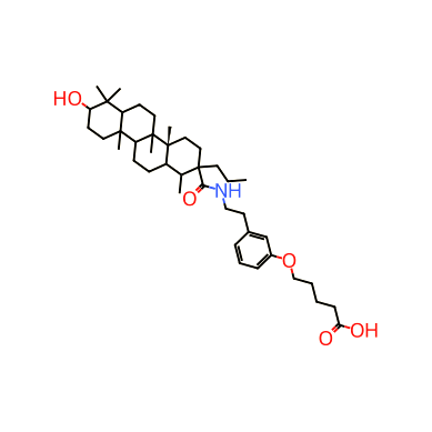 CCCC1(C(=O)NCCc2cccc(OCCCCC(=O)O)c2)CC[C@]2(C)C(CCC3C4(C)CCC(O)C(C)(C)C4CCC32C)C1C